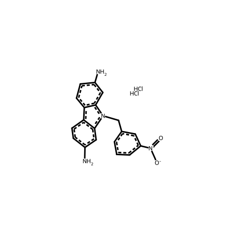 Cl.Cl.Nc1ccc2c3ccc(N)cc3n(Cc3cccc([N+](=O)[O-])c3)c2c1